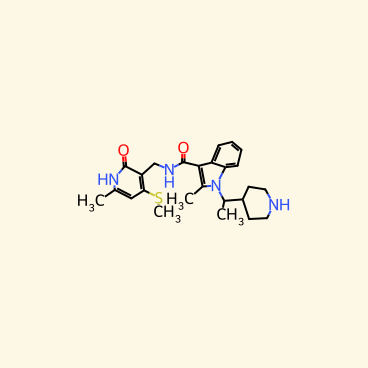 CSc1cc(C)[nH]c(=O)c1CNC(=O)c1c(C)n(C(C)C2CCNCC2)c2ccccc12